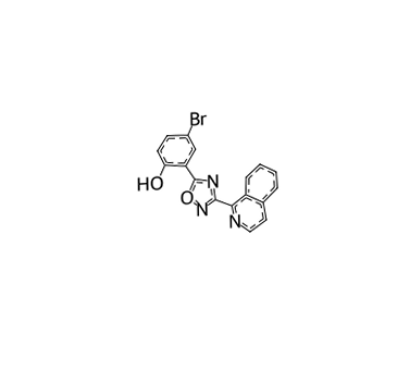 Oc1ccc(Br)cc1-c1nc(-c2nccc3ccccc23)no1